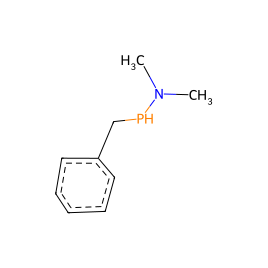 CN(C)PCc1ccccc1